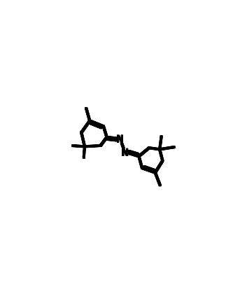 CC1=CC(=NN=C2C=C(C)CC(C)(C)C2)CC(C)(C)C1